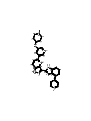 c1cc(-c2ccncc2)c2nc(-c3n[nH]c4ccc(-c5cncc(OC6CCNCC6)c5)nc34)[nH]c2c1